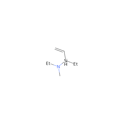 C=C[SiH](CC)N(C)CC